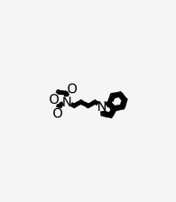 O=C1COC(=O)N1CCCCn1ccc2ccccc21